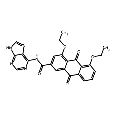 CCOc1cccc2c1C(=O)c1c(OCC)cc(C(=O)Nc3ncnc4[nH]cnc34)cc1C2=O